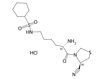 Cl.N#C[C@@H]1CSCN1C(=O)[C@@H](N)CCCCNS(=O)(=O)C1CCCCC1